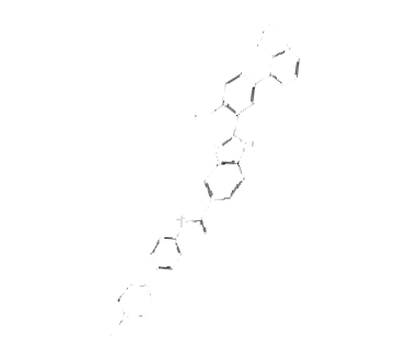 COc1ncccc1-c1ccc(O)c(-c2nc3cc(C(=O)Nc4ccc(N5CCN(C)CC5)cc4)ccc3[nH]2)c1